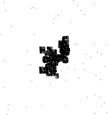 CCC(C)(CC)CN1CC[C@@H](CNC(=O)c2ccc3cc(Cl)ccc3c2)N[C@@H](CCN)C1=O